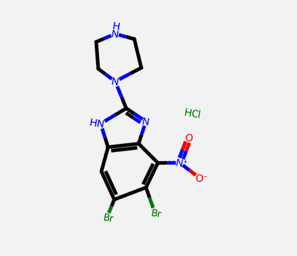 Cl.O=[N+]([O-])c1c(Br)c(Br)cc2[nH]c(N3CCNCC3)nc12